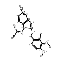 COc1cnc(CSc2nc3cc(Cl)ccc3n2OC(F)F)c(C)c1OC